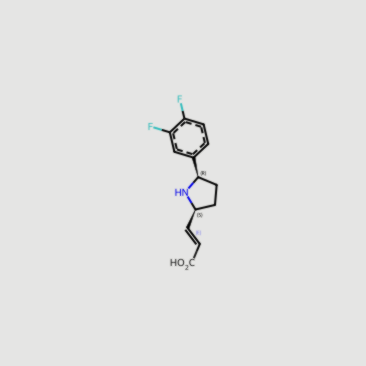 O=C(O)/C=C/[C@@H]1CC[C@H](c2ccc(F)c(F)c2)N1